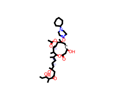 CCC(O)C(C)C1OC1CC(C)(O)/C=C/C=C(\C)C1OC(=O)CC(O)CCC(C)(ON2CCN(C3CCCCCC3)CC2)C(OC(C)=O)/C=C/C1C